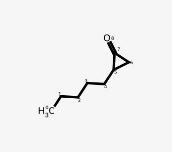 CCCCCC1CC1=O